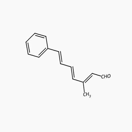 CC(C=CC=Cc1ccccc1)=CC=O